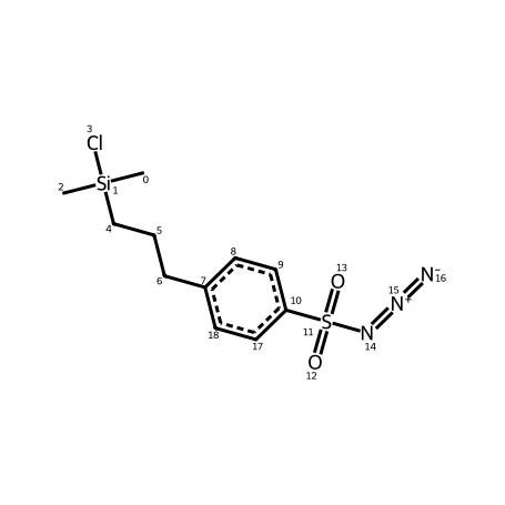 C[Si](C)(Cl)CCCc1ccc(S(=O)(=O)N=[N+]=[N-])cc1